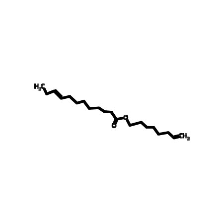 C=CCCCCCCOC(=O)CCCCCCC/C=C/CC